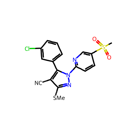 CSc1nn(-c2ccc(S(C)(=O)=O)cn2)c(-c2cccc(Cl)c2)c1C#N